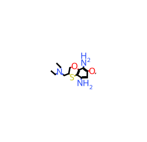 CCN(CC)CC1COc2c(N)c(OC)cc(N)c2S1